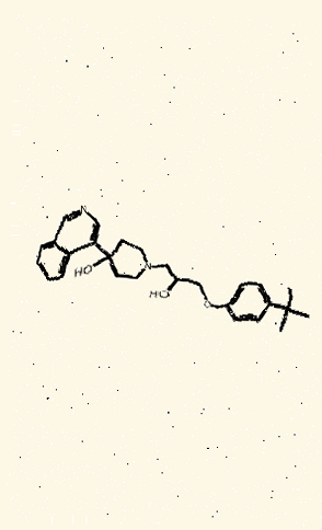 CC(C)(C)c1ccc(OCC(O)CN2CCC(O)(c3cncc4ccccc34)CC2)cc1